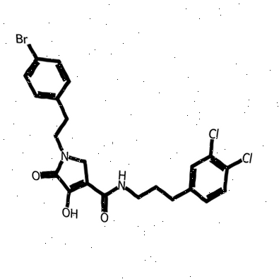 O=C(NCCCc1ccc(Cl)c(Cl)c1)C1=C(O)C(=O)N(CCc2ccc(Br)cc2)C1